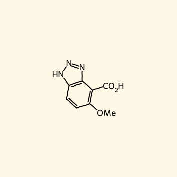 COc1ccc2[nH]nnc2c1C(=O)O